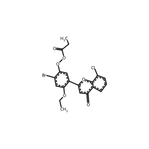 CCOc1cc(Br)c(OOC(=O)CC)cc1-c1cc(=O)c2cccc(Cl)c2o1